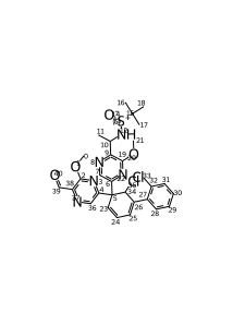 COc1nc(C2(c3cnc(C(C)N[S@+]([O-])C(C)(C)C)c(OC)n3)C=CC=C(c3ccccc3Cl)C2Cl)cnc1C=O